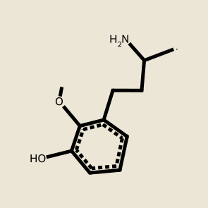 [CH2]C(N)CCc1cccc(O)c1OC